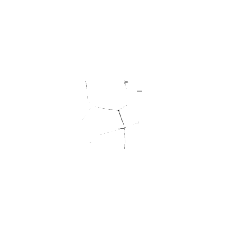 CC(C)C(O)C(C)(Cl)Cl